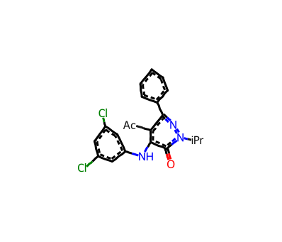 CC(=O)c1c(-c2ccccc2)nn(C(C)C)c(=O)c1Nc1cc(Cl)cc(Cl)c1